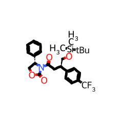 CC(C)(C)[Si](C)(C)OC[C@H](CC(=O)N1C(=O)OC[C@@H]1c1ccccc1)c1ccc(C(F)(F)F)cc1